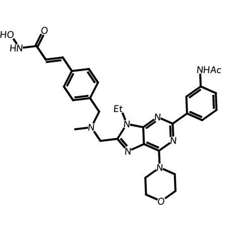 CCn1c(CN(C)Cc2ccc(/C=C/C(=O)NO)cc2)nc2c(N3CCOCC3)nc(-c3cccc(NC(C)=O)c3)nc21